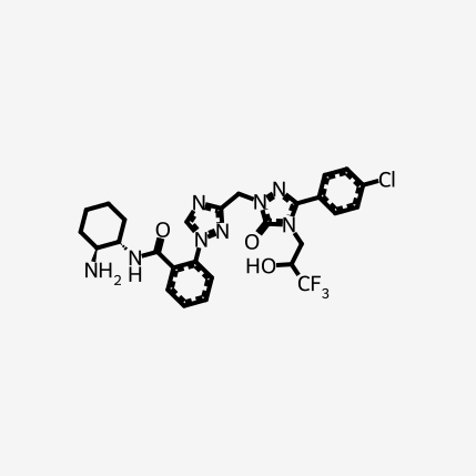 N[C@H]1CCCC[C@@H]1NC(=O)c1ccccc1-n1cnc(Cn2nc(-c3ccc(Cl)cc3)n(CC(O)C(F)(F)F)c2=O)n1